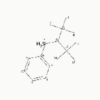 CC(C)(C)C([SiH2]c1c[c][c]cc1)C(C)(C)C